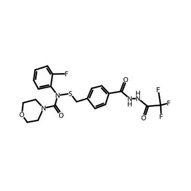 O=C(NNC(=O)C(F)(F)F)c1ccc(CSN(C(=O)N2CCOCC2)c2ccccc2F)cc1